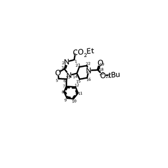 CCOC(=O)C/N=C1/OCC(c2ccccc2)N1C1CCN(C(=O)OC(C)(C)C)CC1